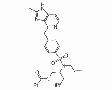 C=CCN([C@H](COC(=O)CC)CC(C)C)S(=O)(=O)c1ccc(Cc2nccc3[nH]c(C)nc23)cc1